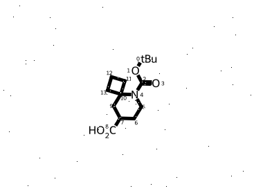 CC(C)(C)OC(=O)N1CCC(C(=O)O)CC12CCC2